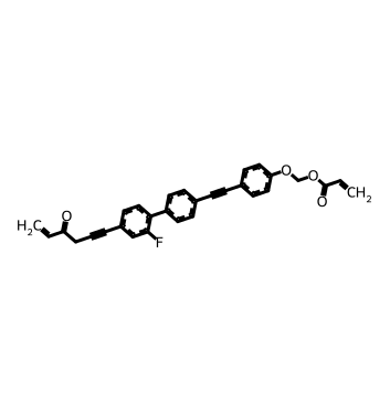 C=CC(=O)CC#Cc1ccc(-c2ccc(C#Cc3ccc(OCOC(=O)C=C)cc3)cc2)c(F)c1